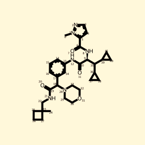 Cn1nccc1C(=O)N[C@H](C(=O)Nc1cccc(C(C(=O)NCC2(C)CCC2)N2CCOCC2)c1)C(C1CC1)C1CC1